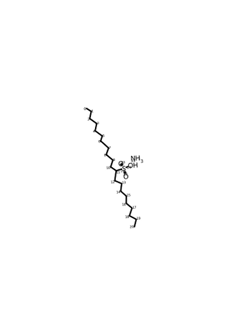 CCCCCCCCCCCC(CCCCCCCCC)S(=O)(=O)O.N